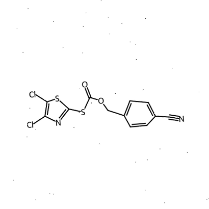 N#Cc1ccc(COC(=O)Sc2nc(Cl)c(Cl)s2)cc1